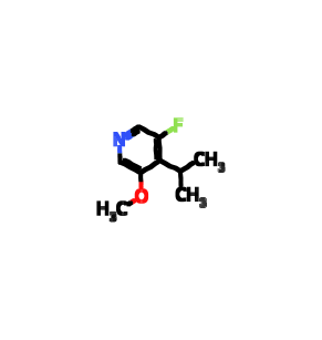 COc1cncc(F)c1C(C)C